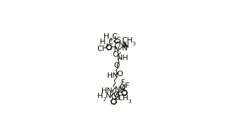 COc1ccccc1/C(N)=C/C(=N)[C@@H](CCCCNC(=O)CCOCCNC(=O)C[C@@H]1N=C(c2ccc(Cl)cc2)c2c(sc(C)c2C)-n2c(C)nnc21)NC(=O)c1ccccc1OC(F)F